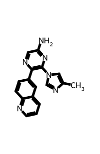 Cc1cn(-c2nc(N)cnc2-c2ccc3ncccc3c2)cn1